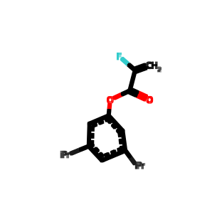 C=C(F)C(=O)Oc1cc(C(C)C)cc(C(C)C)c1